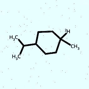 [2H]C1(C)CCC(C(C)C)CC1